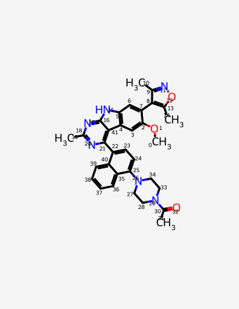 COc1cc2c(cc1-c1c(C)noc1C)[nH]c1nc(C)nc(-c3ccc(N4CCN(C(C)=O)CC4)c4ccccc34)c12